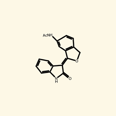 CC(=O)Nc1ccc2c(c1)/C(=C1/C(=O)Nc3ccccc31)OC2